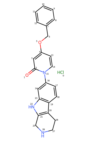 Cl.O=c1cc(OCc2ccccc2)ccn1-c1ccc2c3c([nH]c2c1)CNCC3